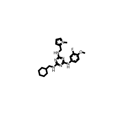 COc1ccc(Nc2nc(NCc3cccn3C)nc(NCC3CCCCC3)n2)cc1F